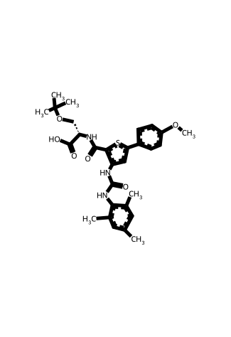 COc1ccc(-c2cc(NC(=O)Nc3c(C)cc(C)cc3C)c(C(=O)N[C@@H](COC(C)(C)C)C(=O)O)s2)cc1